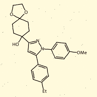 CCc1ccc(-c2cc(C3(O)CCC4(CC3)OCCO4)nn2-c2ccc(OC)cc2)cc1